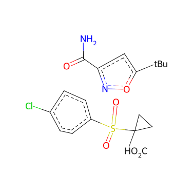 CC(C)(C)c1cc(C(N)=O)no1.O=C(O)C1(S(=O)(=O)c2ccc(Cl)cc2)CC1